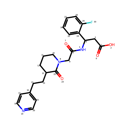 O=C(O)CC(NC(=O)CN1CCCC(CCc2ccncc2)C1=O)c1ccccc1F